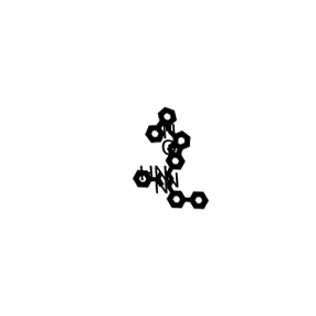 c1ccc(C2=NC(c3cccc(-c4ccccc4)c3)=NC(c3ccc4c(c3)oc3c(-n5c6ccccc6c6ccccc65)cccc34)N2)cc1